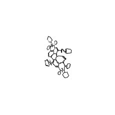 O=C1c2ccc3c4c(c5c6c7c(cc(N8CCCC8)c63)C(=O)N(C3CCCCC3)C(=O)C7C=C5)C(N3CCCC3)=CC(C(=O)N1C1CCCCC1)c24